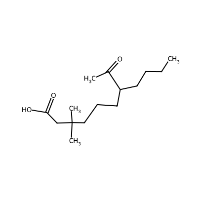 CCCCC(CCCC(C)(C)CC(=O)O)C(C)=O